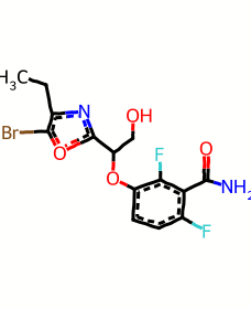 CCc1nc(C(CO)Oc2ccc(F)c(C(N)=O)c2F)oc1Br